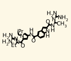 CCN(N=C(N)N)C(=O)c1cc(NC(=O)c2ccc3[nH]c(C(=O)NC(C)N=C(N)N)cc3c2)cn1CC(C)C